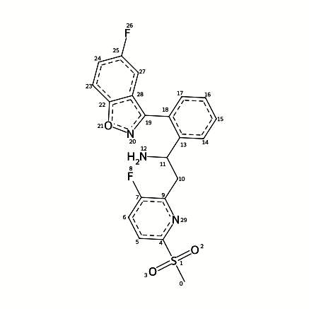 CS(=O)(=O)c1ccc(F)c(CC(N)c2ccccc2-c2noc3ccc(F)cc23)n1